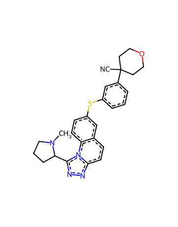 CN1CCCC1c1nnc2ccc3cc(Sc4cccc(C5(C#N)CCOCC5)c4)ccc3n12